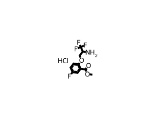 COC(=O)c1cc(F)ccc1OCC(N)C(F)(F)F.Cl